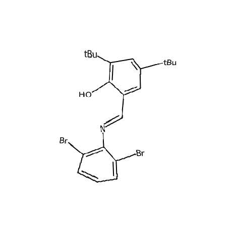 CC(C)(C)c1cc(C=Nc2c(Br)cccc2Br)c(O)c(C(C)(C)C)c1